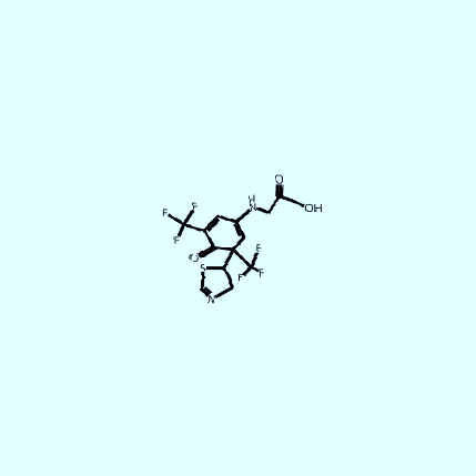 O=C(O)CNC1=CC(C2CN=CS2)(C(F)(F)F)C(=O)C(C(F)(F)F)=C1